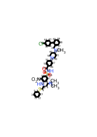 CN(C)CC[C@@H](CSc1ccccc1)Nc1ccc(S(=O)(=O)NC(=O)c2ccc(N3CCC(N(C)Cc4ccccc4-c4ccc(Cl)cc4)CC3)cc2)cc1[N+](=O)[O-]